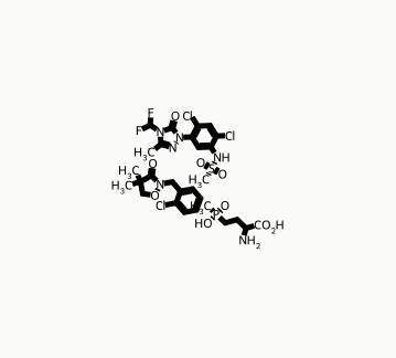 CC1(C)CON(Cc2ccccc2Cl)C1=O.CP(=O)(O)CCC(N)C(=O)O.Cc1nn(-c2cc(NS(C)(=O)=O)c(Cl)cc2Cl)c(=O)n1C(F)F